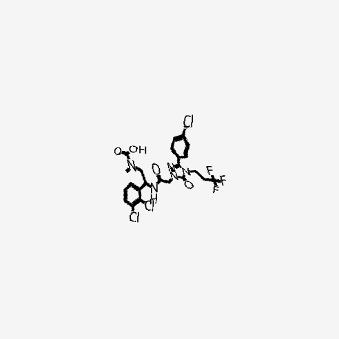 CN(CC(NC(=O)Cn1nc(-c2ccc(Cl)cc2)n(CCC(F)(F)F)c1=O)c1cccc(Cl)c1Cl)C(=O)O